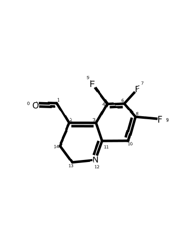 O=CC1=c2c(F)c(F)c(F)cc2=NCC1